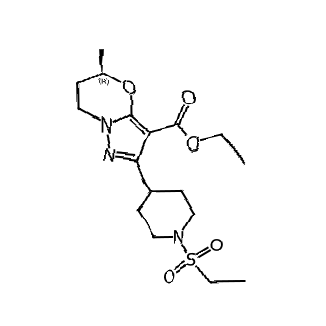 CCOC(=O)c1c(C2CCN(S(=O)(=O)CC)CC2)nn2c1O[C@H](C)CC2